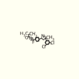 CC(C)C(=O)N1CC(F)(c2ccc(C3=NCC(C)(c4cc(Cl)cc(Cl)c4)C3)cc2)C1